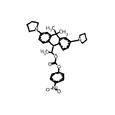 CC(OC(=O)Oc1ccc([N+](=O)[O-])cc1)C1c2ccc(N3CCCC3)cc2C(C)(C)c2cc(N3CCCC3)ccc21